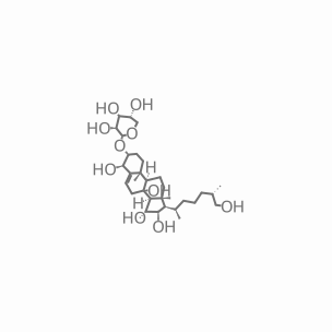 C[C@H](CO)CCC[C@@H](C)[C@H]1[C@@H](O)[C@H](O)[C@@H]2[C@]1(C)CC[C@H]1[C@@]2(O)CC=C2[C@@H](O)[C@@H](O[C@@H]3OC[C@@H](O)C(O)[C@@H]3O)CC[C@@]21C